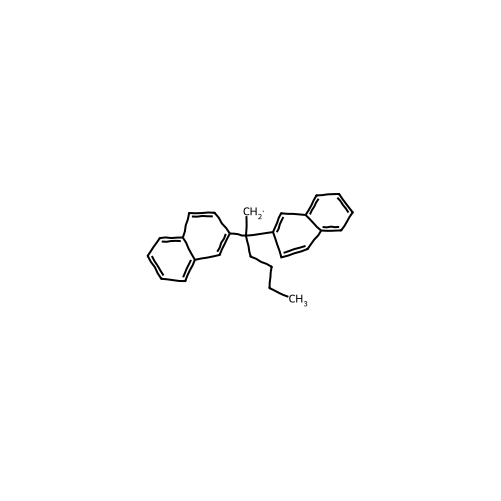 [CH2]C(CCCC)(c1ccc2ccccc2c1)c1ccc2ccccc2c1